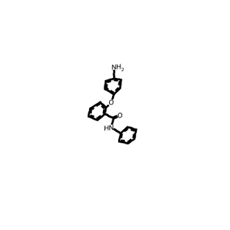 Nc1ccc(Oc2ccccc2C(=O)Nc2ccccc2)cc1